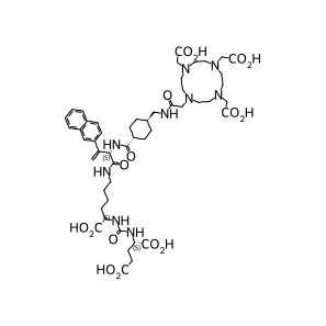 C=C(c1ccc2ccccc2c1)[C@H](NC(=O)[C@H]1CC[C@H](CNC(=O)CN2CCN(CC(=O)O)CCN(CC(=O)O)CCN(CC(=O)O)CC2)CC1)C(=O)NCCCC[C@H](NC(=O)N[C@@H](CCC(=O)O)C(=O)O)C(=O)O